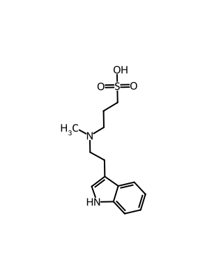 CN(CCCS(=O)(=O)O)CCc1c[nH]c2ccccc12